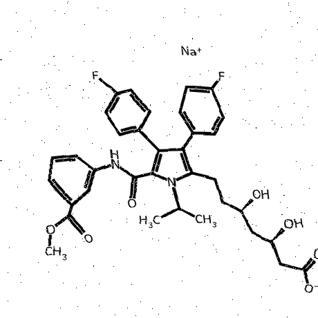 COC(=O)c1cccc(NC(=O)c2c(-c3ccc(F)cc3)c(-c3ccc(F)cc3)c(CC[C@@H](O)C[C@@H](O)CC(=O)[O-])n2C(C)C)c1.[Na+]